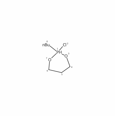 CCCC[PH]1(Cl)OCCCO1